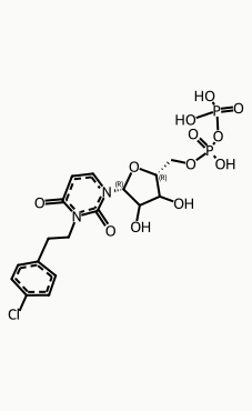 O=c1ccn([C@@H]2O[C@H](COP(=O)(O)OP(=O)(O)O)C(O)C2O)c(=O)n1CCc1ccc(Cl)cc1